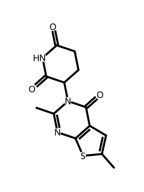 Cc1cc2c(=O)n(C3CCC(=O)NC3=O)c(C)nc2s1